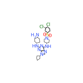 N[C@H]1CC[C@H](Nc2nc(NC3CCN(S(=O)(=O)c4ccc(Cl)c(Cl)c4)CC3)c3ncn(C4CCCC4)c3n2)CC1